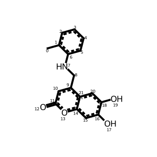 Cc1ccccc1NCc1cc(=O)oc2cc(O)c(O)cc12